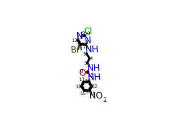 O=C(NCCCNc1nc(Cl)ncc1Br)Nc1cccc([N+](=O)[O-])c1